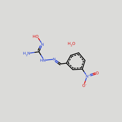 NC(=NO)NN=Cc1cccc([N+](=O)[O-])c1.O